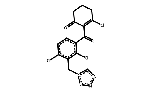 O=C1CCCC(Cl)=C1C(=O)c1ccc(Cl)c(Cn2cnnn2)c1Cl